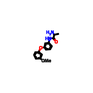 COc1cccc(Oc2cccc(NC(=O)C(C)N)c2)c1